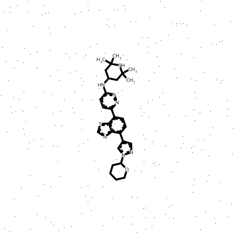 CC1(C)CC(Nc2ccc(-c3ccc(-c4cnn(C5CCCCO5)c4)c4ncsc34)nn2)CC(C)(C)N1